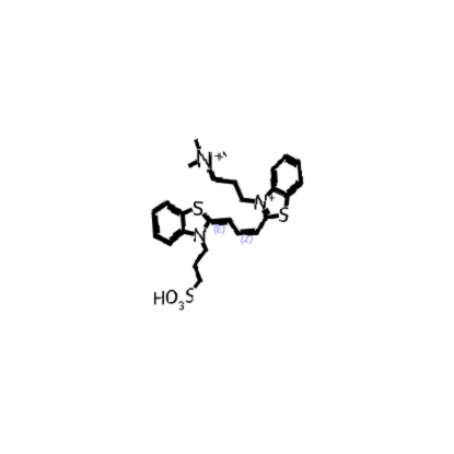 C[N+](C)(C)CCC[n+]1c(/C=C\C=C2\Sc3ccccc3N2CCCS(=O)(=O)O)sc2ccccc21